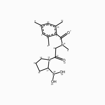 Cc1cc(C)c(C(=O)N(C)CC(=O)N2CCCC2B(O)O)c(C)c1